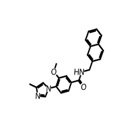 COc1cc(C(=O)NCc2ccc3ccccc3c2)ccc1-n1cnc(C)c1